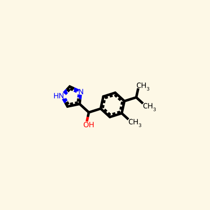 Cc1cc(C(O)c2c[nH]cn2)ccc1C(C)C